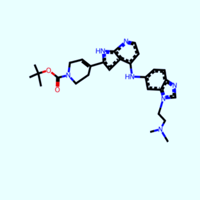 CN(C)CCn1cnc2ccc(Nc3ccnc4[nH]c(C5=CCN(C(=O)OC(C)(C)C)CC5)cc34)cc21